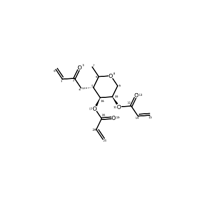 C=CC(=O)C[C@@H]1C(C)OC[C@@H](OC(=O)C=C)[C@H]1OC(=O)C=C